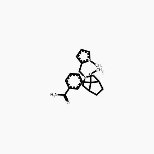 COC1(c2cccc(C(N)=O)c2)C2CCC1CN(Cc1cccn1C)C2